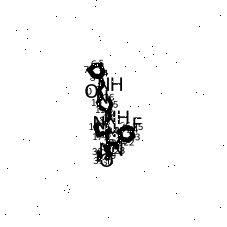 O=C(Nc1ccccc1)N1CCC(Nc2nccc(-c3c(-c4ccc(F)cc4)nc4occn34)n2)CC1